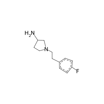 NC1CCN(CCc2ccc(F)cc2)C1